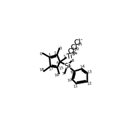 CC1=C(C)[C]([Ti+3])([Si](C)(C)c2ccccc2)C(C)=C1C.[Cl-].[Cl-].[Cl-]